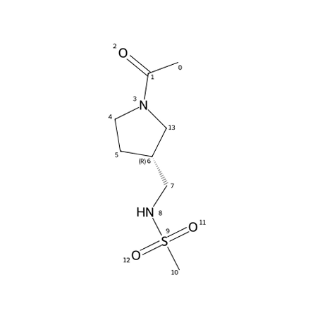 CC(=O)N1CC[C@@H](CNS(C)(=O)=O)C1